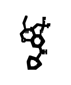 CC[C@@H]1COc2cc(Nc3ccccc3)ccc2N1CC(F)(F)F